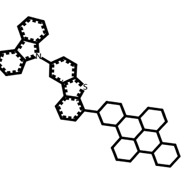 c1cc(C2CCC3C(C2)C2CCCC4C5CCCCC5C5CCCC3C5C42)c2sc3ccc(-n4c5ccccc5c5ccccc54)cc3c2c1